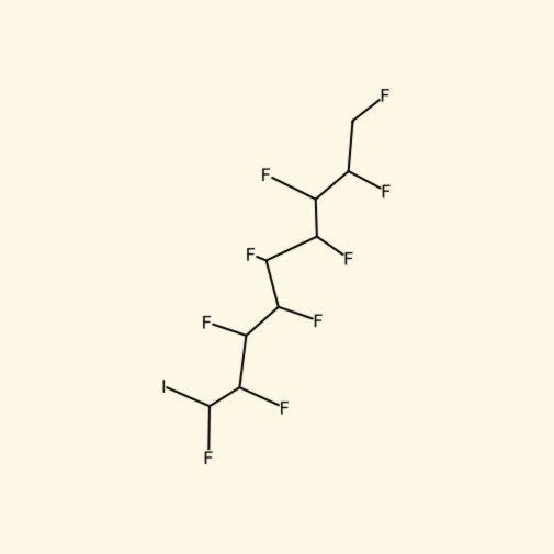 FCC(F)C(F)C(F)C(F)C(F)C(F)C(F)C(F)I